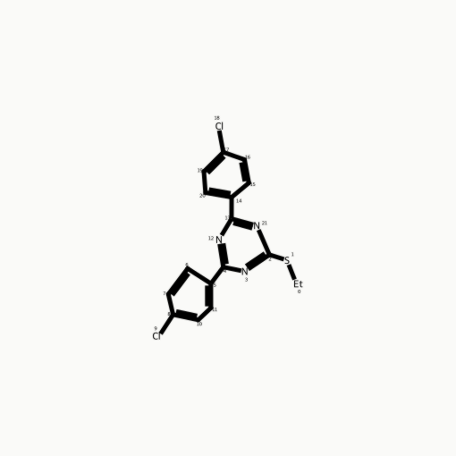 CCSc1nc(-c2ccc(Cl)cc2)nc(-c2ccc(Cl)cc2)n1